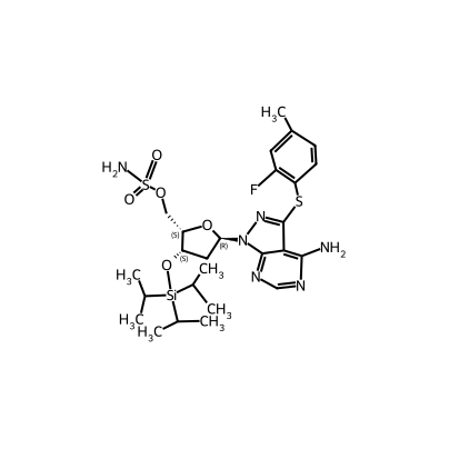 Cc1ccc(Sc2nn([C@H]3C[C@H](O[Si](C(C)C)(C(C)C)C(C)C)[C@H](COS(N)(=O)=O)O3)c3ncnc(N)c23)c(F)c1